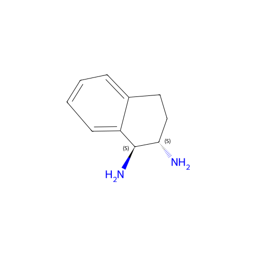 N[C@H]1CCc2ccccc2[C@@H]1N